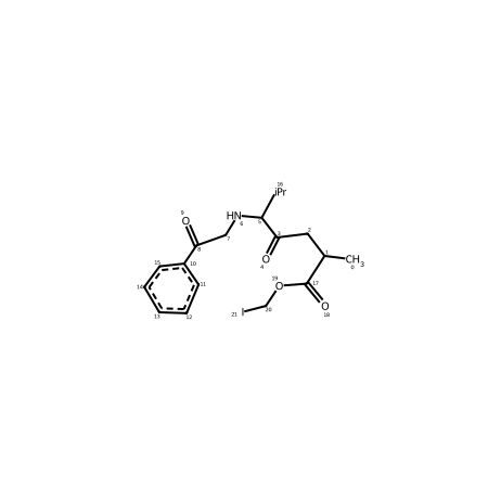 CC(CC(=O)C(NCC(=O)c1ccccc1)C(C)C)C(=O)OCI